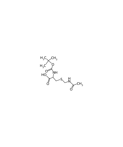 CC(=O)NCSCC(NC(=O)OC(C)(C)C)C(=O)O